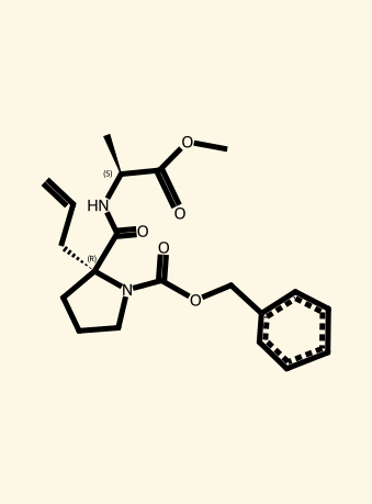 C=CC[C@@]1(C(=O)N[C@@H](C)C(=O)OC)CCCN1C(=O)OCc1ccccc1